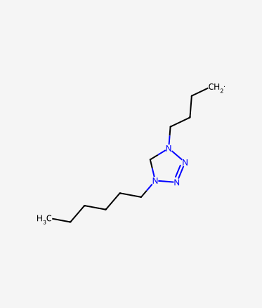 [CH2]CCCN1CN(CCCCCC)N=N1